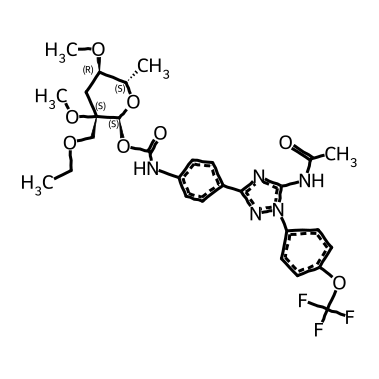 CCOC[C@@]1(OC)C[C@@H](OC)[C@H](C)O[C@H]1OC(=O)Nc1ccc(-c2nc(NC(C)=O)n(-c3ccc(OC(F)(F)F)cc3)n2)cc1